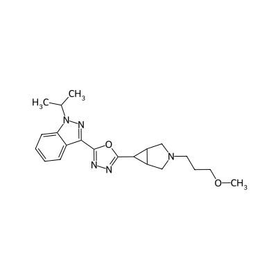 COCCCN1CC2C(C1)C2c1nnc(-c2nn(C(C)C)c3ccccc23)o1